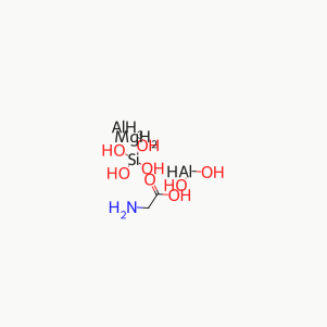 NCC(=O)O.O[Si](O)(O)O.[AlH3].[MgH2].[OH][AlH][OH]